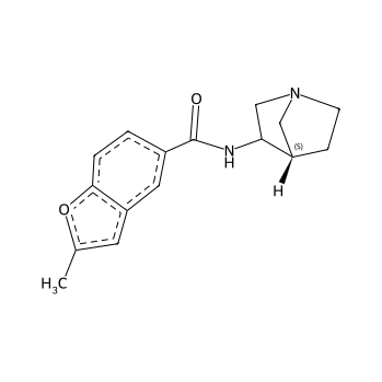 Cc1cc2cc(C(=O)NC3CN4CC[C@H]3C4)ccc2o1